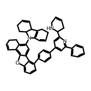 C1=CC2=C(CC1)C1C=CCCC1N2c1cc2c(oc3cccc(-c4ccc(-c5cc(-c6ccccc6)nc(C6CC=CCN6)c5)cc4)c32)c2c1CCC=C2